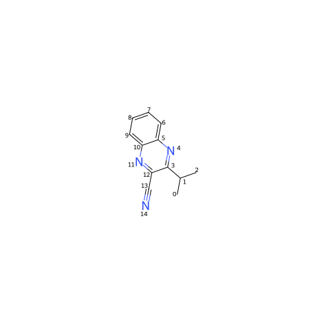 CC(C)c1nc2ccccc2nc1C#N